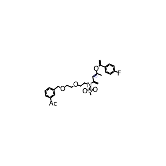 C=C(O/C(C)=C/C(=C)N(CCOCCOCc1cccc(C(C)=O)c1)S(C)(=O)=O)c1ccc(F)cc1